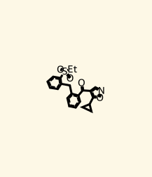 CCS(=O)(=O)c1ccccc1Cc1ccccc1C(=O)c1cnoc1C1CC1